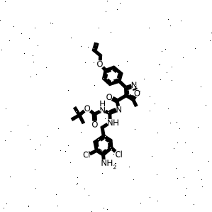 C=CCOc1ccc(-c2noc(C)c2C(=O)/N=C(/NCc2cc(Cl)c(N)c(Cl)c2)NC(=O)OC(C)(C)C)cc1